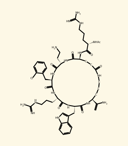 C=C(N)[C@@H]1CCCNC(=O)CC[C@H](NC(=O)[C@H](CCCNC(=N)N)NC(C)=O)C(=O)N[C@@H](CCN)C(=O)N[C@H](Cc2ccccc2Cl)C(=O)N[C@@H](CCCNC(=N)N)C(=O)N[C@@H](Cc2c[nH]c3ccccc23)C(=O)N1